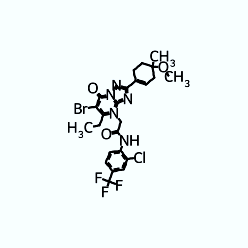 CCc1c(Br)c(=O)n2nc(C3=CCC(C)(OC)CC3)nc2n1CC(=O)Nc1ccc(C(F)(F)F)cc1Cl